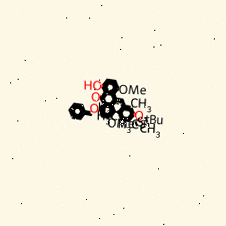 COc1cc(OCc2ccccc2)c2c(c1)C(CC1=C(C)C(O[Si](C)(C)C(C)(C)C)CCC1(C)C)c1c(OC)ccc(O)c1C2=O